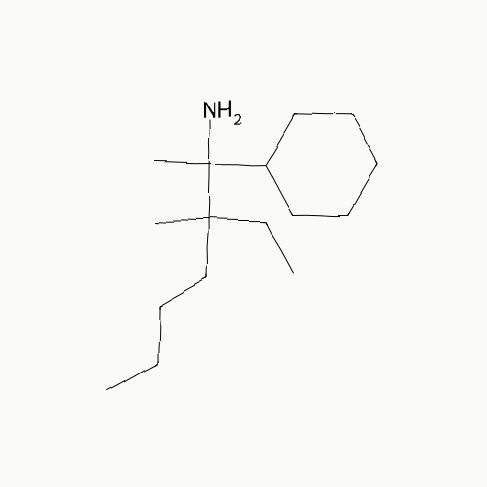 CCCCC(C)(CC)C(C)(N)C1CCCCC1